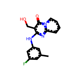 Cc1cc(F)cc(Nc2nc3ccccn3c(=O)c2CO)c1